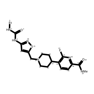 CCNC(=O)Nc1cc(CN2CCC(c3ccc(C(=O)NC)nc3F)CC2)sn1